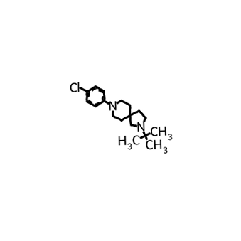 CC(C)(C)N1CCC2(CCN(c3ccc(Cl)cc3)CC2)C1